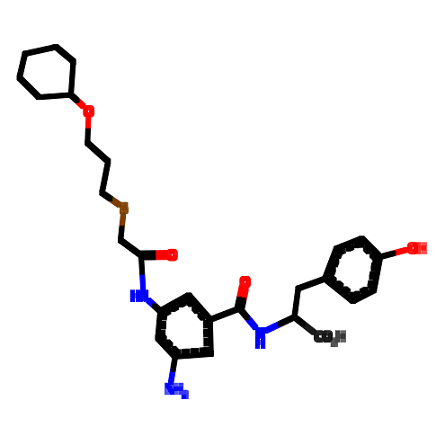 Nc1cc(NC(=O)CSCCCOC2CCCCC2)cc(C(=O)NC(Cc2ccc(O)cc2)C(=O)O)c1